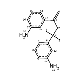 C=C(CC(C)(C)c1cccc(N)c1)c1cccc(N)c1